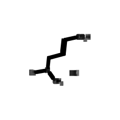 CCN(C)CC=CC(=O)O.Cl